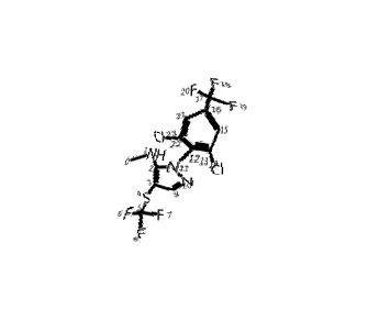 CNc1c(SC(F)(F)F)cnn1-c1c(Cl)cc(C(F)(F)F)cc1Cl